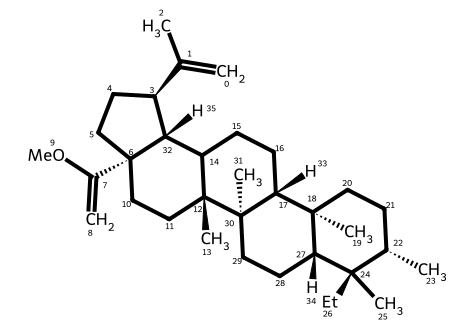 C=C(C)[C@@H]1CC[C@]2(C(=C)OC)CC[C@]3(C)C(CC[C@@H]4[C@@]5(C)CC[C@H](C)[C@@](C)(CC)[C@@H]5CC[C@]43C)[C@@H]12